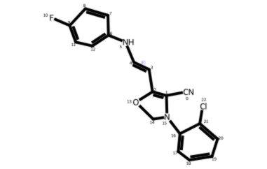 N#CC1=C(/C=C/Nc2ccc(F)cc2)OCN1c1ccccc1Cl